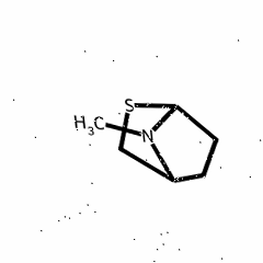 CN1C2CCC1SC2